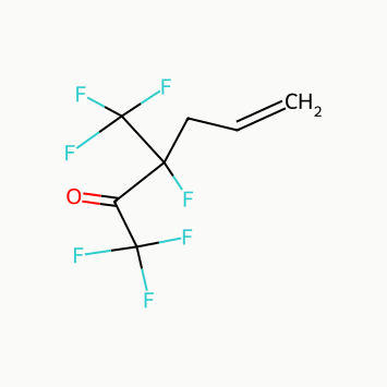 C=CCC(F)(C(=O)C(F)(F)F)C(F)(F)F